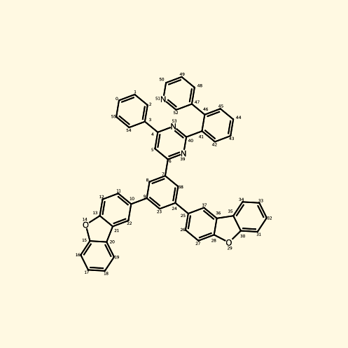 c1ccc(-c2cc(-c3cc(-c4ccc5oc6ccccc6c5c4)cc(-c4ccc5oc6ccccc6c5c4)c3)nc(-c3ccccc3-c3cccnc3)n2)cc1